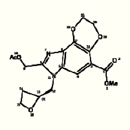 COC(=O)c1cc2c(nc(COC(C)=O)n2C[C@@H]2CCO2)c2c1OCCO2